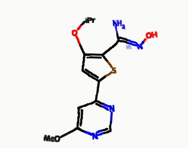 COc1cc(-c2cc(OC(C)C)c(/C(N)=N/O)s2)ncn1